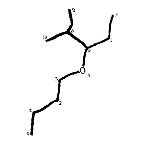 CCCCOC(CC)C(C)C